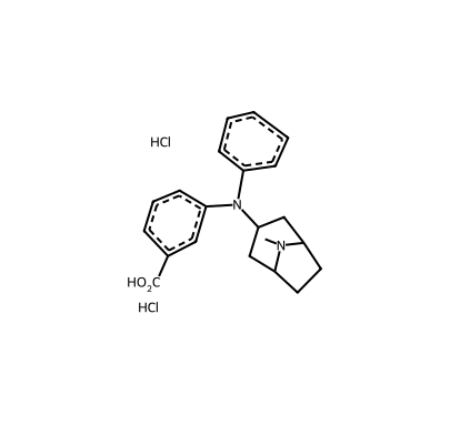 CN1C2CCC1CC(N(c1ccccc1)c1cccc(C(=O)O)c1)C2.Cl.Cl